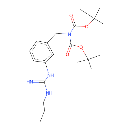 CCCNC(=N)Nc1cccc(CN(C(=O)OC(C)(C)C)C(=O)OC(C)(C)C)c1